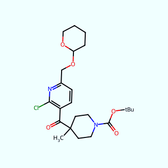 CC(C)(C)OC(=O)N1CCC(C)(C(=O)c2ccc(COC3CCCCO3)nc2Cl)CC1